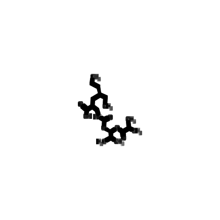 CCC[C@@H](CC)CC(CNC(=O)O[C@@H](OC(=O)C(C)C)C(C)C)C(=O)O